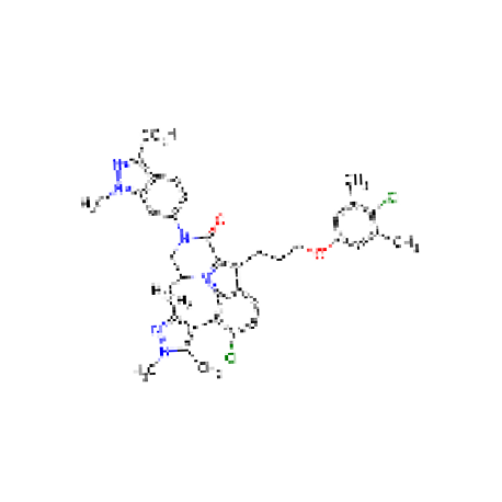 Cc1cc(OCCCc2c3n(c4c(-c5c(C)nn(C)c5C)c(Cl)ccc24)C(C)CN(c2ccc4c(C(=O)O)nn(C)c4c2)C3=O)cc(C)c1Cl